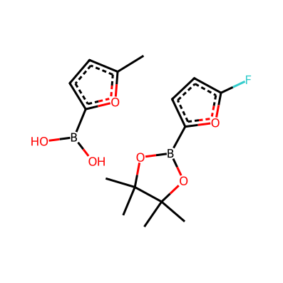 CC1(C)OB(c2ccc(F)o2)OC1(C)C.Cc1ccc(B(O)O)o1